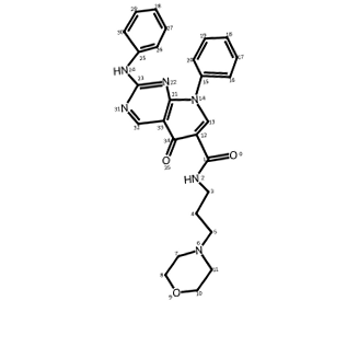 O=C(NCCCN1CCOCC1)c1cn(-c2ccccc2)c2nc(Nc3ccccc3)ncc2c1=O